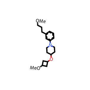 COCCCc1cccc(N2CCC(OC3CC(OC)C3)CC2)c1